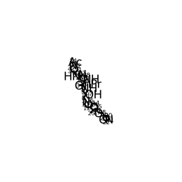 CCCC1(C(=O)NC[C@H](O)CN2CCc3c(ccc(OCc4cnco4)c3C)C2)CC(NC2CCN(C(C)=O)CC2)=NCN1